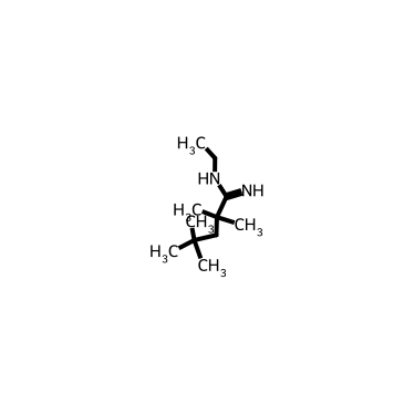 CCNC(=N)C(C)(C)CC(C)(C)C